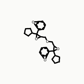 c1cc2c(c(C3(C4CCCC4)OC3COCC3OC3(c3cccc4c3O4)C3CCCC3)c1)O2